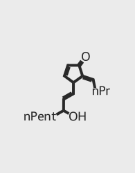 CCCC=C1C(=O)C=CC1C=CC(O)CCCCC